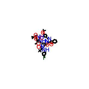 C=C[C@@H]1C[C@]1(NC(=O)[C@@H]1C[C@@H](Oc2nc(-c3ccc(OC(C)C)cc3)nc3c2oc2ccccc23)CN1C(=O)[C@@H](Nc1ccc(F)cc1)C(C)(C)C)C(=O)NS(=O)(=O)C1CC1